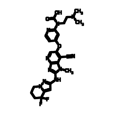 CN(C)CCN(C(=O)O)c1cc(Oc2cnc3nc(Nc4cc5n(n4)CCCC5(F)F)n(C)c3c2C#N)ccn1